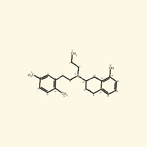 CCCN(CCc1cc(C)ccc1C)C1CCc2cccc(O)c2C1